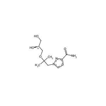 CC(C)(Cn1ccc(C(N)=O)n1)OC[C@@H](O)CO